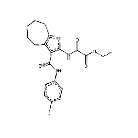 CCOC(=O)C(=O)Nc1sc2c(c1C(=O)Nc1ccc(Cl)cc1)CCCCC2